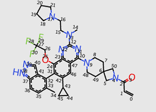 C=CC(=O)N1CC2(CCN(c3nc(N(C)CCN4CCCC4)nc4c(OCC(F)(F)F)c(-c5c(C)ccc6[nH]ncc56)c(C5CC5)cc34)CC2)C1